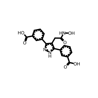 O=C(Cc1c(-c2cccc(C(=O)O)c2)n[nH]c1-c1cccc(C(=O)O)c1)NO